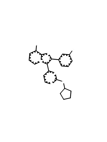 Nc1cccc(-c2nc3c(Cl)cccn3c2-c2ccnc(NC3CCCC3)n2)c1